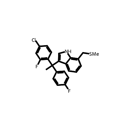 CSCc1cccc2c(C(C)(c3ccc(F)cc3)c3ccc(Cl)cc3F)c[nH]c12